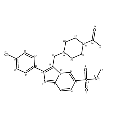 CNS(=O)(=O)c1ccc2nc(-c3ccc(Cl)cc3)c(CN3CCN(C(C)=O)CC3)n2c1